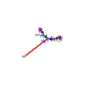 CC(=O)SCCOCCOCCOCCOCCOCCOCCOCCOCCC(=O)NCCC(=O)C(NCc1cc(F)c(C(=O)N[C@@H](Cc2ccc(-c3c(C)n(C)c(=O)n(C)c3=O)cc2)C(=O)O)c(F)c1)c1cc(F)c(CN[C@@H](Cc2ccc(-c3c(C)n(C)c(=O)n(C)c3=O)cc2)C(=O)O)c(F)c1